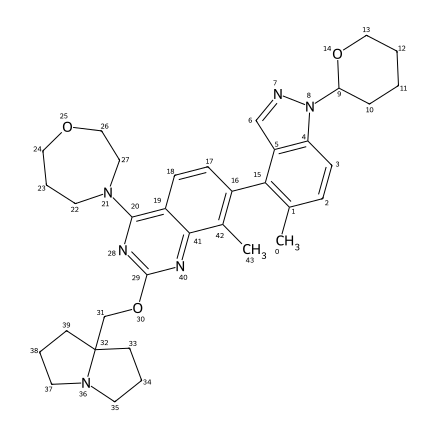 Cc1ccc2c(cnn2C2CCCCO2)c1-c1ccc2c(N3CCCOCC3)nc(OCC34CCCN3CCC4)nc2c1C